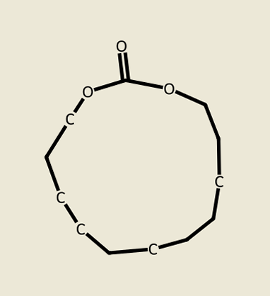 O=C1OCCCCCCCCCCCO1